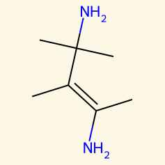 CC(N)=C(C)C(C)(C)N